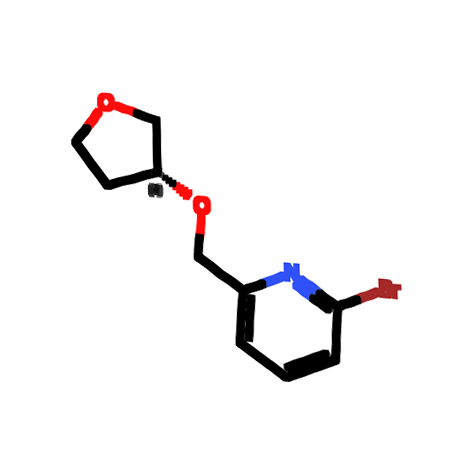 Brc1cccc(CO[C@@H]2CCOC2)n1